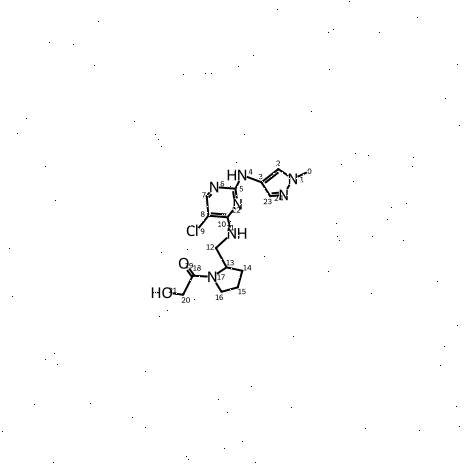 Cn1cc(Nc2ncc(Cl)c(NCC3CCCN3C(=O)CO)n2)cn1